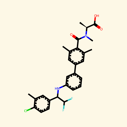 Cc1cc(C(Nc2cccc(-c3cc(C)c(C(=O)N(C)[C@@H](C)C(=O)O)c(C)c3)c2)C(F)F)ccc1Cl